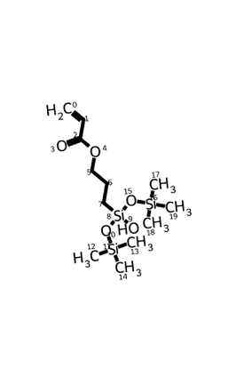 C=CC(=O)OCCC[Si](O)(O[Si](C)(C)C)O[Si](C)(C)C